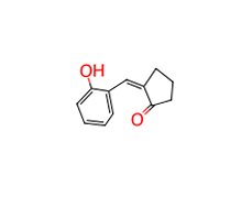 O=C1CCCC1=Cc1ccccc1O